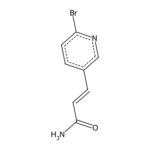 NC(=O)/C=C/c1ccc(Br)nc1